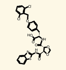 O=C(O)[C@H](Cc1ccc(OCc2c(Cl)cccc2Cl)cc1)NC(=O)[C@@H]1OCO[C@H]1C(=O)Nc1nc2ccccc2s1